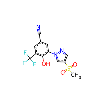 CS(=O)(=O)c1cnn(-c2cc(C#N)cc(C(F)(F)F)c2O)c1